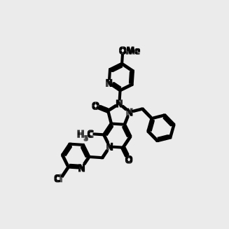 COc1ccc(-n2c(=O)c3c(C)n(Cc4cccc(Cl)n4)c(=O)cc3n2Cc2ccccc2)nc1